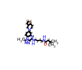 Cc1nnc2c(NCCCCNC(=O)CC(C)C)nc3cc(N4CCc5sccc5C4)ccc3n12